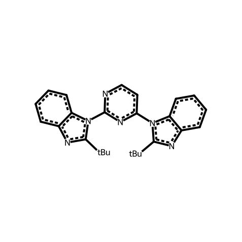 CC(C)(C)c1nc2ccccc2n1-c1ccnc(-n2c(C(C)(C)C)nc3ccccc32)n1